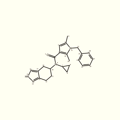 Cc1cc(C(=O)N(C2CC2)C2CCc3n[nH]cc3C2)c(C)n1Cc1ccccn1